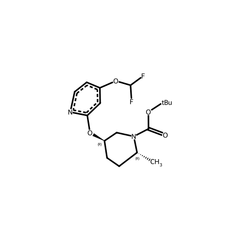 C[C@@H]1CC[C@@H](Oc2cc(OC(F)F)ccn2)CN1C(=O)OC(C)(C)C